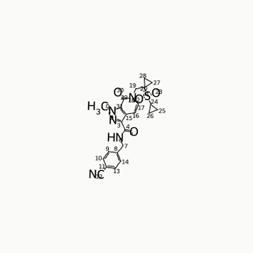 Cn1nc(C(=O)NCc2ccc(C#N)cc2)c2ccn(CC3(S(=O)(=O)C4CC4)CC3)c(=O)c21